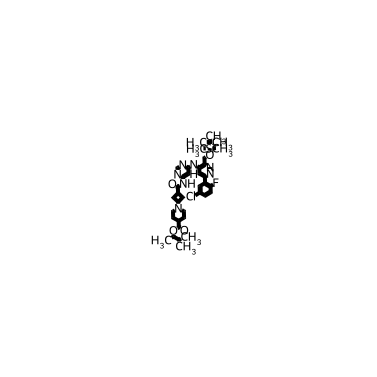 CC(C)C(C)OC(=O)C1CCN(C2CC(C(=O)Nc3cc(Nc4cc(-c5cc(Cl)ccc5F)nnc4CO[Si](C)(C)C(C)(C)C)ncn3)C2)CC1